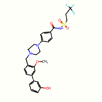 COc1cc(-c2cccc(O)c2)ccc1CN1CCN(c2ccc(C(=O)NS(=O)(=O)CCC(F)(F)F)cc2)CC1